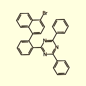 Brc1ccc(-c2ccccc2-c2nc(-c3ccccc3)nc(-c3ccccc3)n2)c2ccccc12